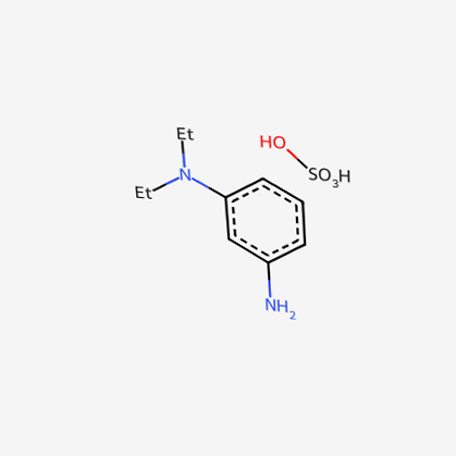 CCN(CC)c1cccc(N)c1.O=S(=O)(O)O